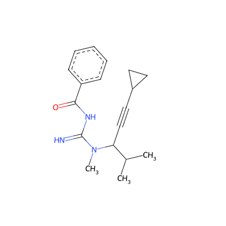 CC(C)C(C#CC1CC1)N(C)C(=N)NC(=O)c1ccccc1